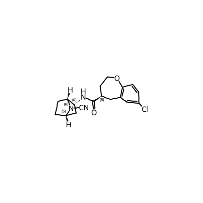 N#CN1[C@H]2CC[C@@H]1[C@H](NC(=O)[C@H]1CCOc3ccc(Cl)cc3C1)C2